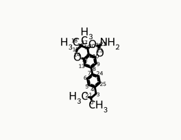 CC(C)Cc1ccc(-c2ccc3c(c2)OCC(C)(C)C3OC(N)=O)cc1